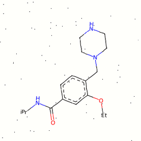 CCOc1cc(C(=O)NC(C)C)ccc1CN1CCNCC1